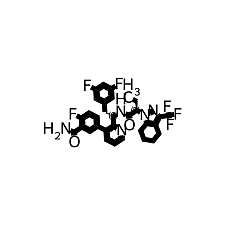 CC[C@H](C(=O)N[C@@H](Cc1cc(F)cc(F)c1)c1ncccc1-c1ccc(F)c(C(N)=O)c1)n1nc(C(F)(F)F)c2c1CCCC2